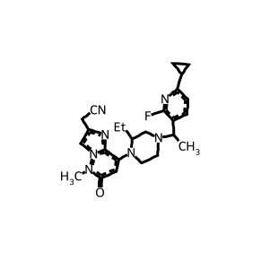 CCC1CN(C(C)c2ccc(C3CC3)nc2F)CCN1c1cc(=O)n(C)n2cc(CC#N)nc12